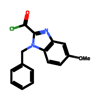 COc1ccc2c(c1)nc(C(=O)Cl)n2Cc1ccccc1